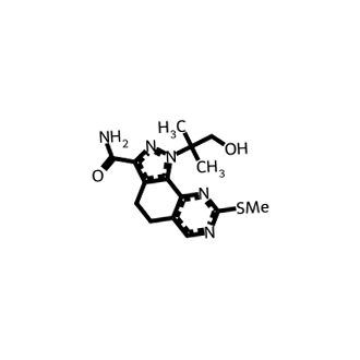 CSc1ncc2c(n1)-c1c(c(C(N)=O)nn1C(C)(C)CO)CC2